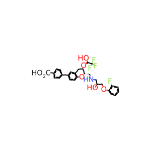 O=C(O)C(F)(F)F.O=C(O)c1ccc(-c2ccc3c(c2)CC[C@H](CNC[C@H](O)COc2ccccc2F)O3)cc1